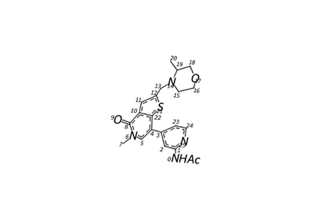 CC(=O)Nc1cc(-c2cn(C)c(=O)c3cc(CN4CCOCC4C)sc23)ccn1